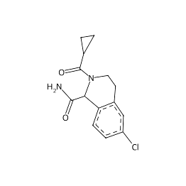 NC(=O)C1c2ccc(Cl)cc2CCN1C(=O)C1CC1